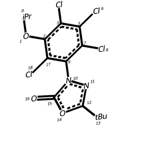 CC(C)Oc1c(Cl)c(Cl)c(Cl)c(-n2nc(C(C)(C)C)oc2=O)c1Cl